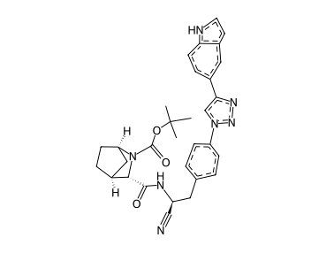 CC(C)(C)OC(=O)N1[C@@H]2CC[C@@H](C2)[C@H]1C(=O)N[C@H](C#N)Cc1ccc(-n2cc(-c3ccc4[nH]ccc4c3)nn2)cc1